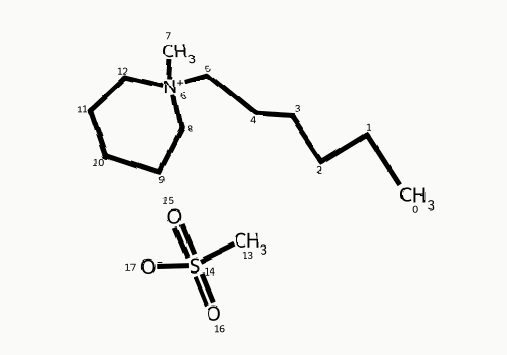 CCCCCC[N+]1(C)CCCCC1.CS(=O)(=O)[O-]